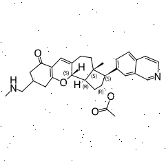 CNCC1CC(=O)C2=C(C1)O[C@@H]1C(=C2)CC[C@@]2(C)[C@H]1C[C@@H](OC(C)=O)[C@@H]2c1ccc2ccncc2c1